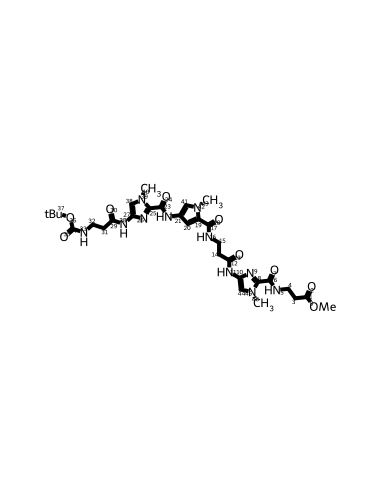 COC(=O)CCNC(=O)c1nc(NC(=O)CCNC(=O)c2cc(NC(=O)c3nc(NC(=O)CCNC(=O)OC(C)(C)C)cn3C)cn2C)cn1C